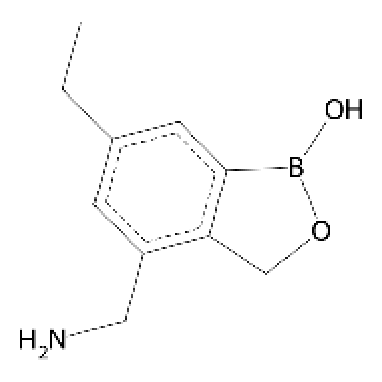 CCc1cc(CN)c2c(c1)B(O)OC2